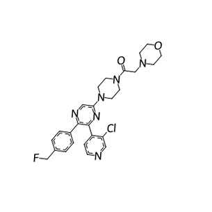 O=C(CN1CCOCC1)N1CCN(c2cnc(-c3ccc(CF)cc3)c(-c3ccncc3Cl)n2)CC1